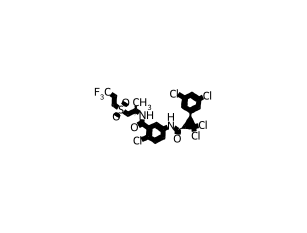 C[C@H](CS(=O)(=O)CCC(F)(F)F)NC(=O)c1cc(NC(=O)[C@@H]2[C@@H](c3cc(Cl)cc(Cl)c3)C2(Cl)Cl)ccc1Cl